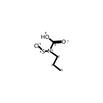 CCCN(SCl)C(=O)O